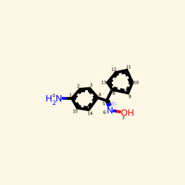 Nc1ccc(/C(=N/O)c2ccccc2)cc1